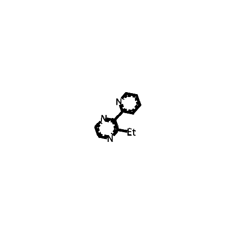 CCc1nccnc1-c1ccccn1